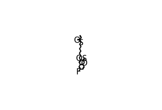 C=CC(=O)SCCCCCCOc1cc2cc(F)ccc2oc1=S